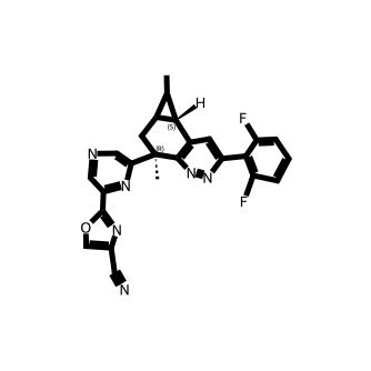 CC1C2C[C@](C)(c3cncc(-c4nc(C#N)co4)n3)c3nnc(-c4c(F)cccc4F)cc3[C@@H]12